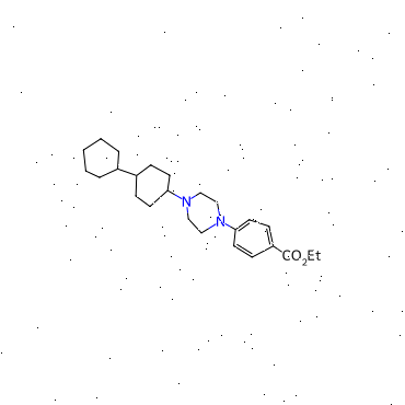 CCOC(=O)c1ccc(N2CCN(C3CCC(C4CCCCC4)CC3)CC2)cc1